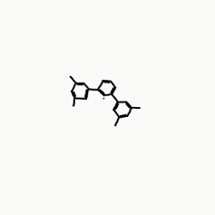 Cc1cc(C)cc(-c2[c]c(-c3cc(C)cc(C)c3)ccc2)c1